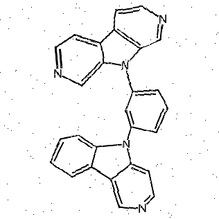 c1cc(-n2c3ccccc3c3cnccc32)cc(-n2c3cnccc3c3ccncc32)c1